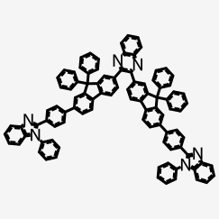 c1ccc(-n2c(-c3ccc(-c4ccc5c(c4)C(c4ccccc4)(c4ccccc4)c4cc(-c6nc7ccccc7nc6-c6ccc7c(c6)C(c6ccccc6)(c6ccccc6)c6cc(-c8ccc(-c9nc%10ccccc%10n9-c9ccccc9)cc8)ccc6-7)ccc4-5)cc3)nc3ccccc32)cc1